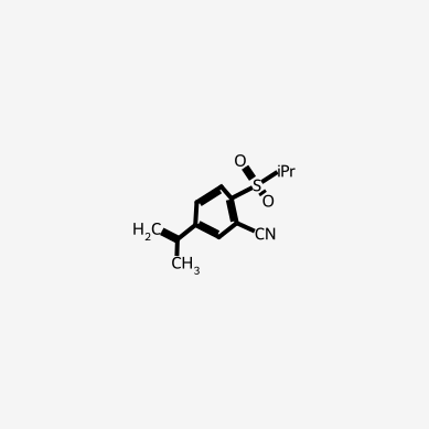 C=C(C)c1ccc(S(=O)(=O)C(C)C)c(C#N)c1